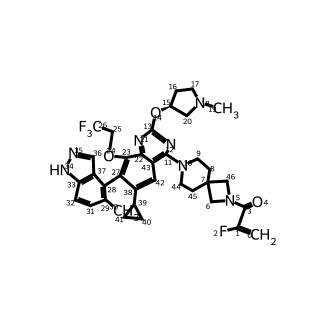 C=C(F)C(=O)N1CC2(CCN(c3nc(O[C@H]4CCN(C)C4)nc4c(OCC(F)(F)F)c(-c5c(C)ccc6[nH]ncc56)c(C5CC5)cc34)CC2)C1